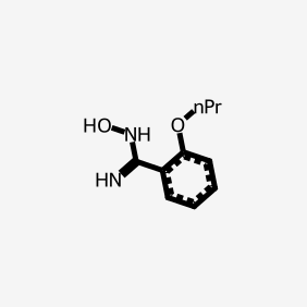 CCCOc1ccccc1C(=N)NO